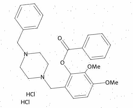 COc1ccc(CN2CCN(Cc3ccccc3)CC2)c(OC(=O)c2ccccc2)c1OC.Cl.Cl